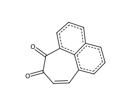 O=C1C=Cc2cccc3cccc(c23)C1=O